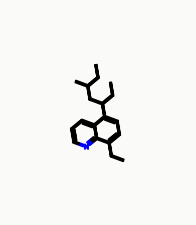 CCc1ccc(C(CC)CC(C)CC)c2cccnc12